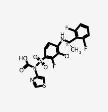 C[C@H](Nc1ccc(S(=O)(=O)N(C(=O)O)c2cscn2)c(F)c1Cl)c1c(F)cccc1F